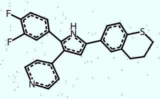 Fc1ccc(-c2[nH]c(-c3ccc4c(c3)CCCS4)cc2-c2ccncc2)cc1F